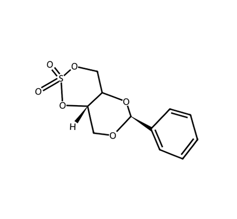 O=S1(=O)OCC2O[C@@H](c3ccccc3)OC[C@@H]2O1